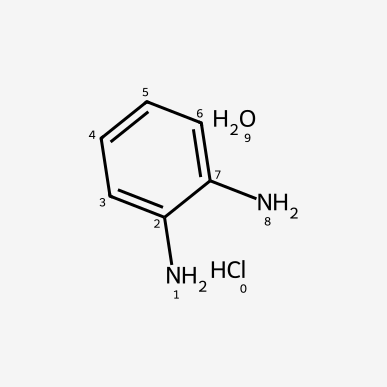 Cl.Nc1ccccc1N.O